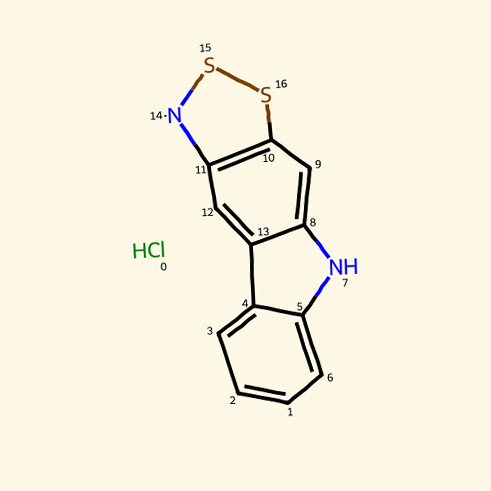 Cl.c1ccc2c(c1)[nH]c1cc3c(cc12)[N]SS3